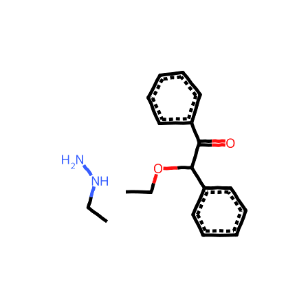 CCNN.CCOC(C(=O)c1ccccc1)c1ccccc1